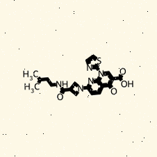 CC(C)CCNC(=O)C1CN(c2ccc3c(=O)c(C(=O)O)cn(-c4nccs4)c3n2)C1